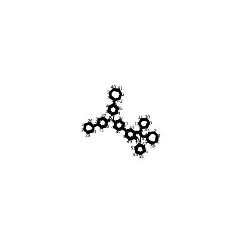 C1=CCC=C(c2c(C3C=CC=CC3)c3cc(-c4ccc(N(c5ccc(C6=CCCC=C6)cc5)c5ccc(C6=CCC=CCC6)cc5)cc4)ccc3n2-c2ccccc2)C=C1